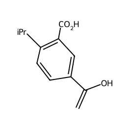 C=C(O)c1ccc(C(C)C)c(C(=O)O)c1